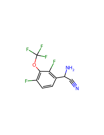 N#CC(N)c1ccc(F)c(OC(F)(F)F)c1F